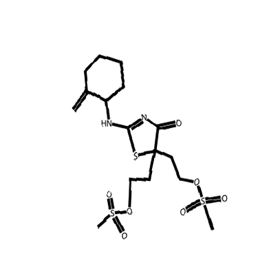 C=C1CCCCC1NC1=NC(=O)C(CCOS(C)(=O)=O)(CCOS(C)(=O)=O)S1